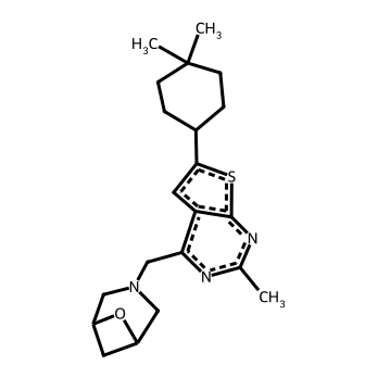 Cc1nc(CN2CC3CC(C2)O3)c2cc(C3CCC(C)(C)CC3)sc2n1